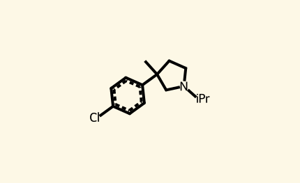 CC(C)N1CCC(C)(c2ccc(Cl)cc2)C1